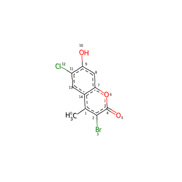 Cc1c(Br)c(=O)oc2cc(O)c(Cl)cc12